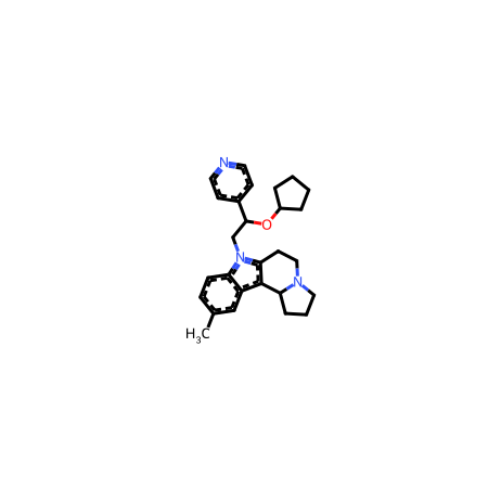 Cc1ccc2c(c1)c1c(n2CC(OC2CCCC2)c2ccncc2)CCN2CCCC12